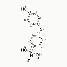 Oc1ccc(Sc2ccc([PH](O)(O)O)cc2)cc1